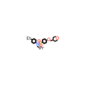 CCc1ccc(N(CC(C)C)S(=O)(=O)c2ccc(OCC3CCOCC3)cc2)cc1